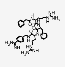 N=C(N)NCCC[C@H](NC(=O)Cc1ccccc1)C(=O)NC(Cc1ccccc1)C(=O)N[C@@H](CCCNC(=N)N)C(=O)NCc1ccc(C(=N)N)cc1